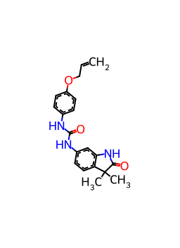 C=CCOc1ccc(NC(=O)Nc2ccc3c(c2)NC(=O)C3(C)C)cc1